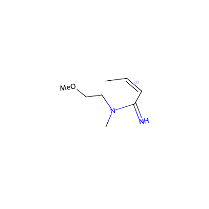 C/C=C\C(=N)N(C)CCOC